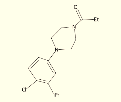 CCC(=O)N1CCN(c2ccc(Cl)c(C(C)C)c2)CC1